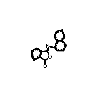 O=C1OC(=Nc2cccc3ccccc23)c2ccccc21